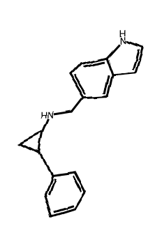 c1ccc(C2CC2NCc2ccc3[nH]ccc3c2)cc1